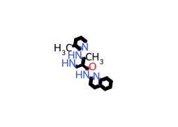 C/C(Nc1ncccc1C)=C(/C=N)C(=O)Nc1ccc2ccccc2n1